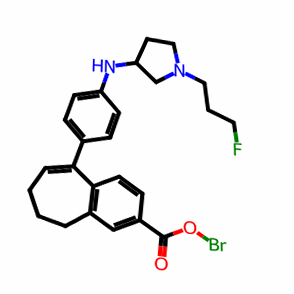 O=C(OBr)c1ccc2c(c1)CCCC=C2c1ccc(NC2CCN(CCCF)C2)cc1